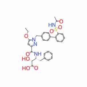 CCOc1cc(C(=O)N[C@H](Cc2ccccc2)[C@@H](O)C(=O)O)nn1Cc1ccc(-c2ccccc2S(=O)(=O)NC(C)=O)cc1